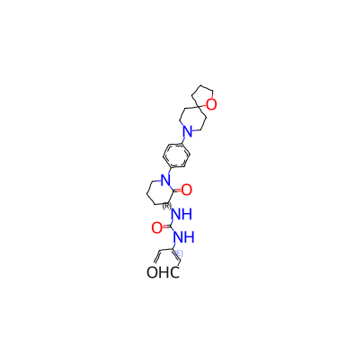 C=C/C(=C\C=O)NC(=O)N[C@@H]1CCCN(c2ccc(N3CCC4(CCCO4)CC3)cc2)C1=O